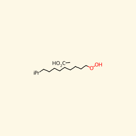 CC(=O)O.CC(C)CCCCCCCCCOO